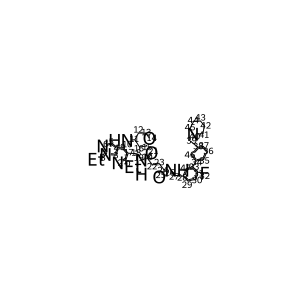 CCc1nc2c(cnn2CC)c(NC2CCOCC2)c1CNC(=O)CCC(=O)NCc1ccc(F)c(-c2cccc(CN3CCCCC3)c2)c1